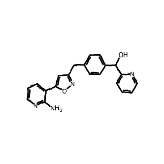 Nc1ncccc1-c1cc(Cc2ccc(C(O)c3ccccn3)cc2)no1